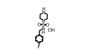 Cl.O=S(=O)(NCc1ccc(F)cc1)N1CCNCC1